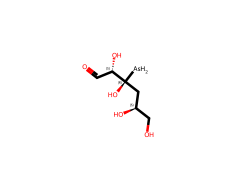 O=C[C@H](O)[C@](O)([AsH2])C[C@H](O)CO